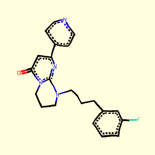 O=c1cc(-c2ccncc2)nc2n1CCCN2CCCc1cccc(F)c1